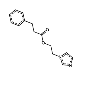 O=C(CCc1ccccc1)OCCn1ccnc1